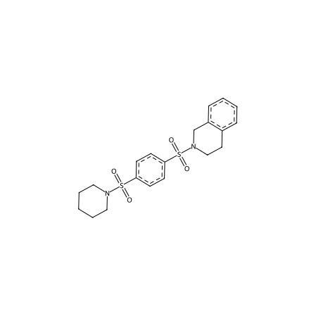 O=S(=O)(c1ccc(S(=O)(=O)N2CCc3ccccc3C2)cc1)N1CCCCC1